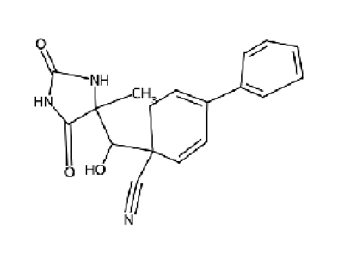 CC1(C(O)C2(C#N)C=CC(c3ccccc3)=CC2)NC(=O)NC1=O